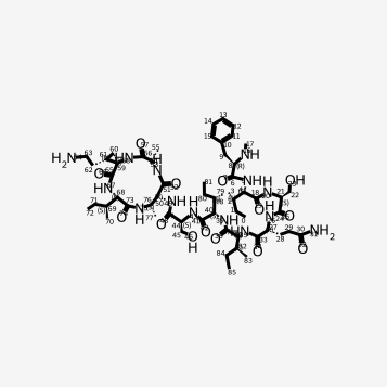 CC[C@H](C)[C@H](NC(=O)[C@@H](Cc1ccccc1)NC)C(=O)N[C@@H](CO)C(=O)N[C@H](CCC(N)=O)C(=O)N[C@@H](C(=O)N[C@H](C(=O)N[C@@H](CO)C(=O)N[C@H]1C(=O)N[C@@H](C)C(=O)N[C@@]2(C[C@H]2CCN)C(=O)N[C@@H]([C@@H](C)CC)C(=O)N[C@H]1C)[C@@H](C)CC)[C@@H](C)CC